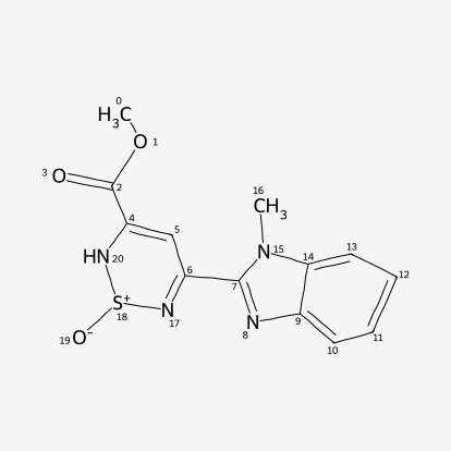 COC(=O)C1=CC(c2nc3ccccc3n2C)=N[S+]([O-])N1